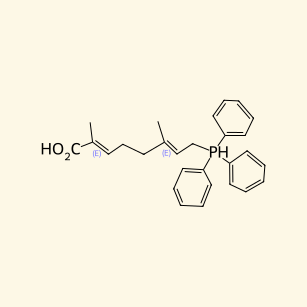 C/C(=C\C[PH](c1ccccc1)(c1ccccc1)c1ccccc1)CC/C=C(\C)C(=O)O